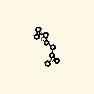 c1ccc(-n2c3ccccc3c3cc(-c4cccc(-c5ccc6oc7c(-n8c9ccccc9c9ccccc98)cccc7c6c5)c4)ccc32)cc1